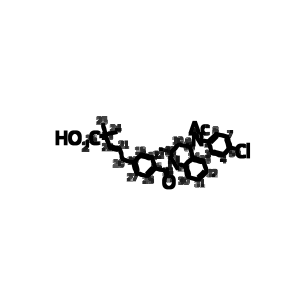 CC(=O)N(c1ccc(Cl)cc1)[C@@H]1C[C@H](C)N(C(=O)c2ccc(CC=CC(C)(C)C(=O)O)cc2)c2ccccc21